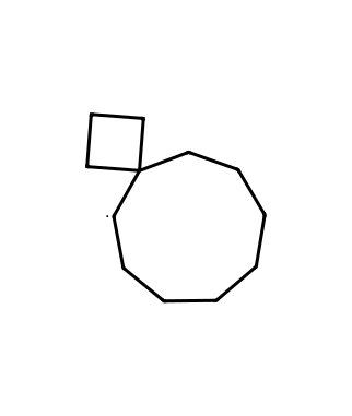 [CH]1CCCCCCCC12CCC2